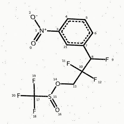 O=[N+]([O-])c1cccc(C(F)C(F)(F)COS(=O)C(F)(F)F)c1